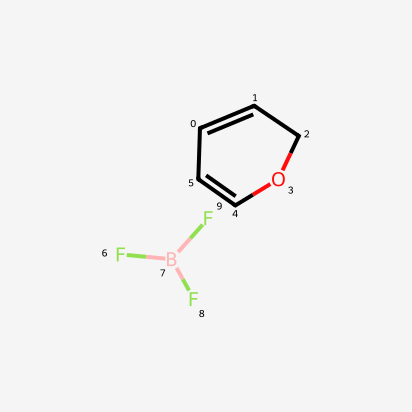 C1=CCOC=C1.FB(F)F